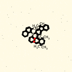 Cc1ccc2c(c1N(c1ccccc1)c1cc3c(cc1-c1cccc4c1C(C)(C)CCC4(C)C)-c1ccccc1C3(C)C)CCCC2